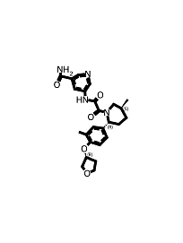 Cc1cc([C@H]2CC[C@H](C)CN2C(=O)C(=O)Nc2cncc(C(N)=O)c2)ccc1O[C@@H]1CCOC1